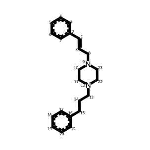 C(=Cc1ccccc1)CN1CCN(CCCc2ccccc2)CC1